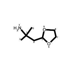 CC(C)(N)CC1OCCO1